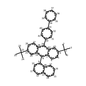 CC(C)(C)c1ccc2c(-c3cccc4ccccc34)c3cc(C(C)(C)C)ccc3c(-c3ccc(-c4ccccc4)cc3)c2c1